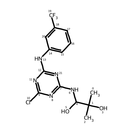 CC(C)(O)C(O)Nc1nc(Cl)nc(Nc2cccc(C(F)(F)F)c2)n1